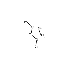 CC(C)(C)N.CC(C)[O][Ti][O]C(C)C